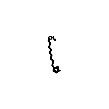 CCCCCCCCCCc1cc[c]s1